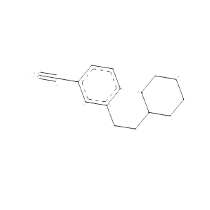 C[C@@H](CC1CCCCC1)c1cccc(C#N)c1